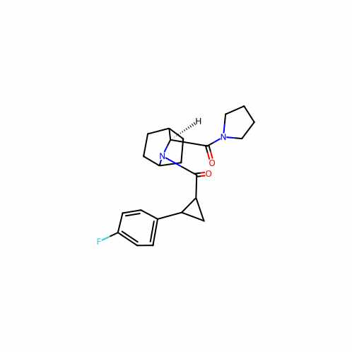 O=C([C@@H]1C2CCC(CC2)N1C(=O)C1CC1c1ccc(F)cc1)N1CCCC1